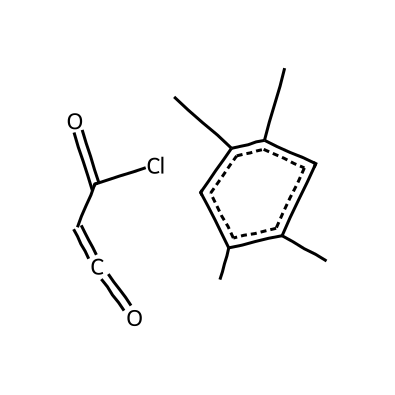 Cc1cc(C)c(C)cc1C.O=C=CC(=O)Cl